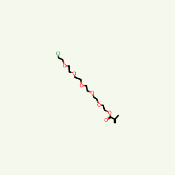 C=C(C)C(=O)OCCOCCOCCOCCOCCOCCCl